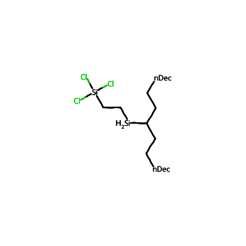 CCCCCCCCCCCCC(CCCCCCCCCCCC)[SiH2]CC[Si](Cl)(Cl)Cl